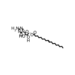 CCCCCCCC/C=C/CCCCCCCC(=O)OC[C@H]1O[C@@H](n2cnc(N)nc2=O)C(O)C1O